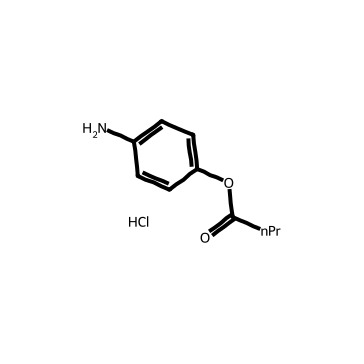 CCCC(=O)Oc1ccc(N)cc1.Cl